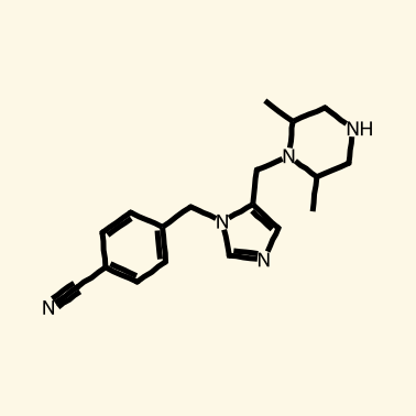 CC1CNCC(C)N1Cc1cncn1Cc1ccc(C#N)cc1